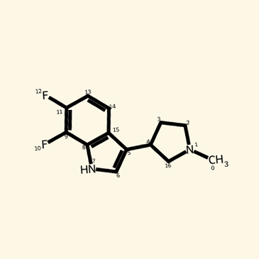 CN1CCC(c2c[nH]c3c(F)c(F)ccc23)C1